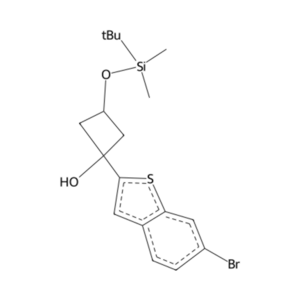 CC(C)(C)[Si](C)(C)OC1CC(O)(c2cc3ccc(Br)cc3s2)C1